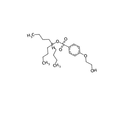 CCCC[PH](CCCC)(CCCC)OS(=O)(=O)c1ccc(OCCO)cc1